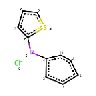 [Cl-].c1ccc([I+]c2cccs2)cc1